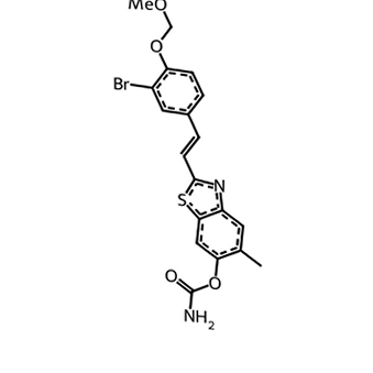 COCOc1ccc(C=Cc2nc3cc(C)c(OC(N)=O)cc3s2)cc1Br